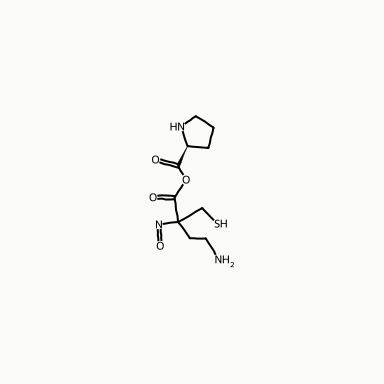 NCCC(CS)(N=O)C(=O)OC(=O)[C@@H]1CCCN1